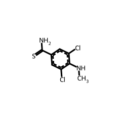 CNc1c(Cl)cc(C(N)=S)cc1Cl